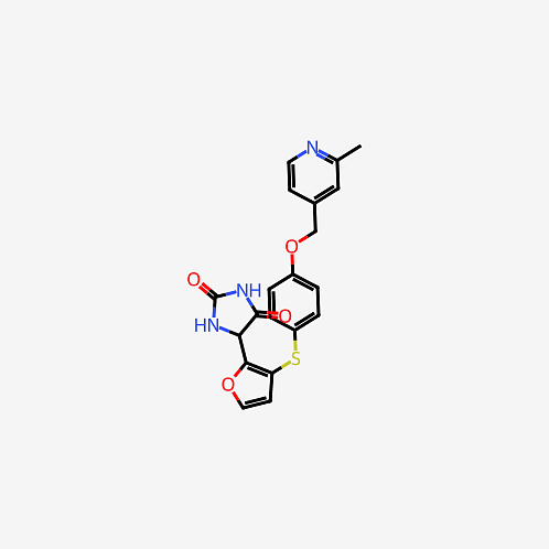 Cc1cc(COc2ccc(Sc3ccoc3C3NC(=O)NC3=O)cc2)ccn1